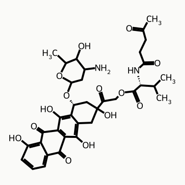 CC(=O)CCC(=O)N[C@@H](C(=O)OCC(=O)C1(O)Cc2c(O)c3c(c(O)c2[C@H](OC2CC(N)C(O)C(C)O2)C1)C(=O)c1c(O)cccc1C3=O)C(C)C